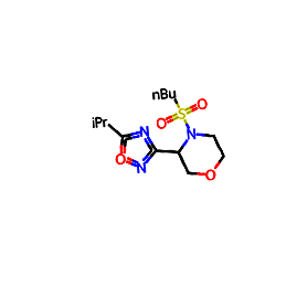 CCCCS(=O)(=O)N1CCOCC1c1noc(C(C)C)n1